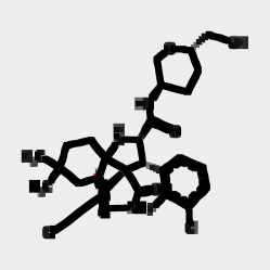 CC1(C)CCC2(CC1)N[C@@H](C(=O)N[C@@H]1CC[C@@H](CO)OC1)[C@H](c1cccc(Cl)c1F)[C@]21C(=O)Nc2cc(Cl)ccc21